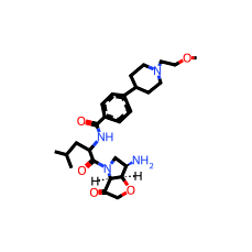 COCCN1CCC(c2ccc(C(=O)NC(CC(C)C)C(=O)N3C[C@@H](N)[C@H]4OCC(=O)[C@H]43)cc2)CC1